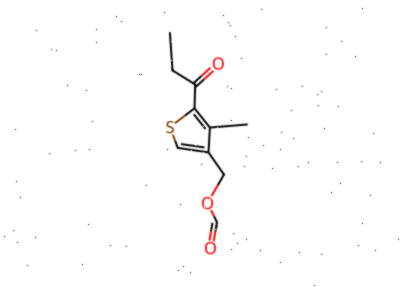 CCC(=O)c1scc(COC=O)c1C